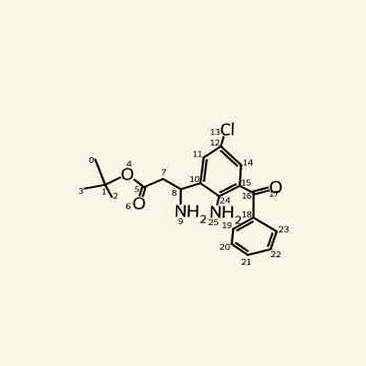 CC(C)(C)OC(=O)CC(N)c1cc(Cl)cc(C(=O)c2ccccc2)c1N